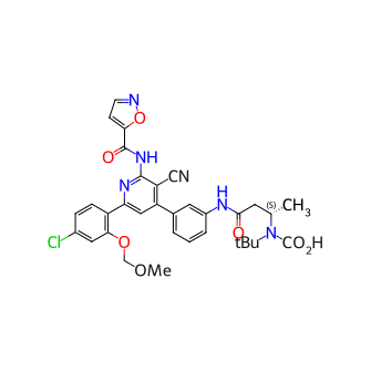 COCOc1cc(Cl)ccc1-c1cc(-c2cccc(NC(=O)C[C@H](C)N(C(=O)O)C(C)(C)C)c2)c(C#N)c(NC(=O)c2ccno2)n1